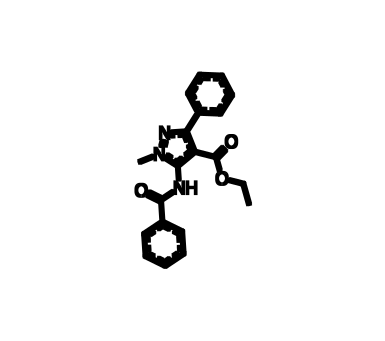 CCOC(=O)c1c(-c2ccccc2)nn(C)c1NC(=O)c1ccccc1